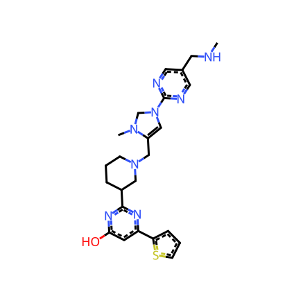 CNCc1cnc(N2C=C(CN3CCCC(c4nc(O)cc(-c5cccs5)n4)C3)N(C)C2)nc1